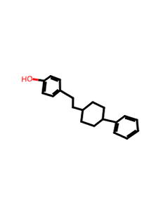 Oc1ccc(CCC2CCC(c3ccccc3)CC2)cc1